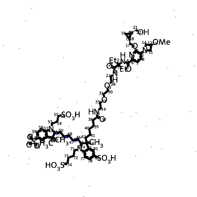 CCC(CC)(NC(=O)c1ccc(N2CC(OC)C2)c(OC[C@H]2C[C@@H]2CO)n1)C(=O)NCCOCCOCCNC(=O)CCCCCC1(C)C(/C=C/C=C/C=C2/N(CCCS(=O)(=O)O)c3ccc(S(=O)(=O)[O-])cc3C2(C)C)=[N+](CCCCS(=O)(=O)O)c2ccc(S(=O)(=O)O)cc21